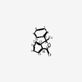 O=C1OC(F)(c2ccccc2)c2ccccc21